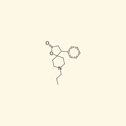 CCCN1CCC2(CC1)OC(=O)CC2c1ccccc1